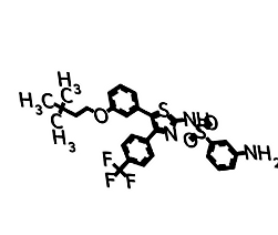 CC(C)(C)CCOc1cccc(-c2sc(NS(=O)(=O)c3cccc(N)c3)nc2-c2ccc(C(F)(F)F)cc2)c1